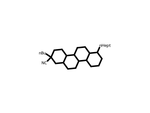 CCCCCCCC1CCCC2C1CCC1C3CCC(C#N)(CCCC)CC3CCC21